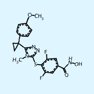 COc1ccc(C2(c3nnc(Sc4c(F)cc(C(=O)NO)cc4F)n3C)CC2)cc1